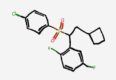 O=S(=O)(c1ccc(Cl)cc1)C(CC1CCC1)c1cc(F)ccc1F